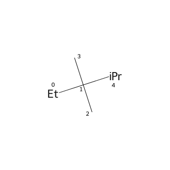 CCC(C)(C)C(C)C